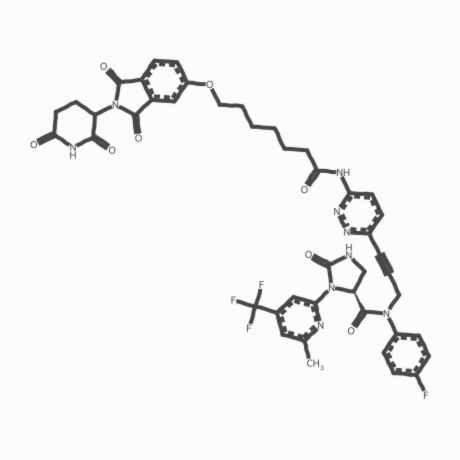 Cc1cc(C(F)(F)F)cc(N2C(=O)NC[C@H]2C(=O)N(CC#Cc2ccc(NC(=O)CCCCCCOc3ccc4c(c3)C(=O)N(C3CCC(=O)NC3=O)C4=O)nn2)c2ccc(F)cc2)n1